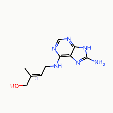 C/C(=C\CNc1ncnc2[nH]c(N)nc12)CO